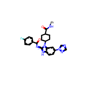 CC(C)NC(=O)C1CCC(n2/c(=N\C(=O)c3ccc(F)cc3)[nH]c3ccc(-n4cncn4)cc32)CC1